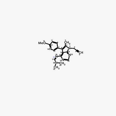 C#CCn1c(C)c(-c2ccc(OC)nc2)c2c(/N=C\N(C)C)ncnc21